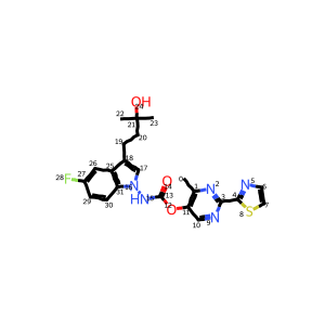 Cc1nc(-c2nccs2)ncc1OC(=O)Nn1cc(CCC(C)(C)O)c2cc(F)ccc21